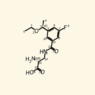 CCO[C@@H](C)c1cc(F)cc(C(=O)NC[C@@H](N)C(=O)O)c1